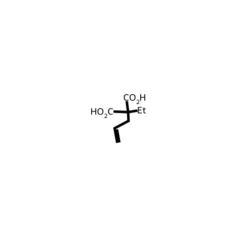 C=CCC(CC)(C(=O)O)C(=O)O